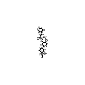 Cc1nc2ccc(-c3ccc4c(c3)CN(C(=O)c3cc5cccnc5s3)CCO4)cc2[nH]1